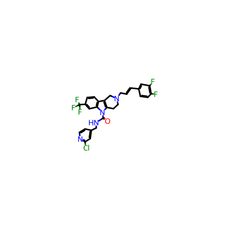 O=C(NCc1ccnc(Cl)c1)n1c2c(c3ccc(C(F)(F)F)cc31)CN(C/C=C/c1ccc(F)c(F)c1)CC2